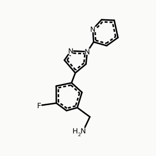 NCc1cc(F)cc(-c2cnn(-c3ccccn3)c2)c1